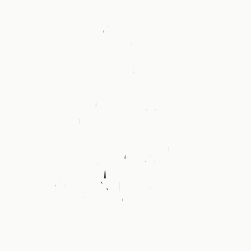 CC(=O)N[C@H]1CO[C@H](COC(C)=O)C(OC(C)=O)[C@@H]1OC(C)=O